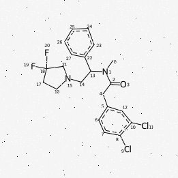 CN(C(=O)Cc1ccc(Cl)c(Cl)c1)C(CN1CCC(F)(F)C1)c1ccccc1